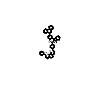 CN1c2ccc(-c3cc4ccccc4c4ccccc34)cc2-c2c(oc3ccccc23)C1c1ccc(-c2ccc3ccc4ccc(-c5ccccc5)nc4c3n2)cc1